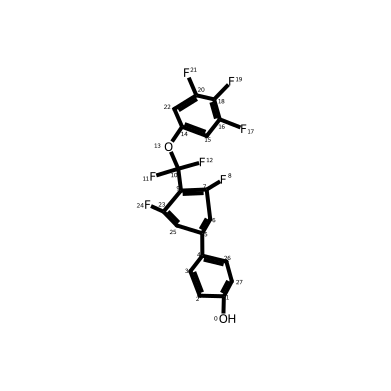 Oc1ccc(-c2cc(F)c(C(F)(F)Oc3cc(F)c(F)c(F)c3)c(F)c2)cc1